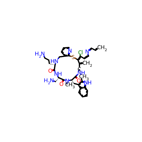 C=C\C=N/C=C\C(Cl)=C1\Sc2ncccc2CN[C@@H](CCCN)C(=O)N[C@@H](CN)C(=O)N(C)[C@@H](Cc2c(C)[nH]c3ccccc23)C(=O)NCC1=C